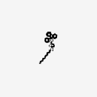 CCCCCCCCCCOC1CCC(COC(c2ccccc2)(c2ccccc2)c2ccccc2)O1